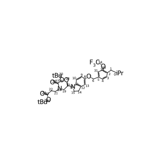 CC(C)Cc1ccc(COc2ccc3c(c2)CCN3C(=O)CN(CCC(=O)OC(C)(C)C)C(=O)OC(C)(C)C)cc1OC(F)(F)F